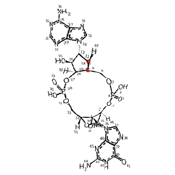 CO[C@H]1[C@H]2OP(=O)(O)OCC34CC[C@@H]3[C@@H](n3cnc5c(N)ncnc53)[C@H](O)[C@@H]4OP(=O)(O)OC[C@H]1O[C@H]2n1cnc2c(=O)[nH]c(N)nc21